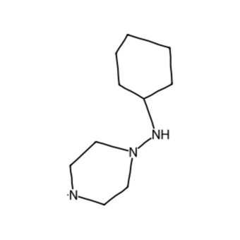 C1CCC(NN2CC[N]CC2)CC1